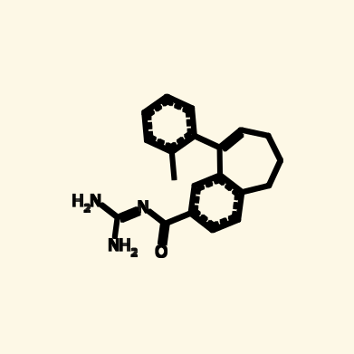 Cc1ccccc1C1=CCCCc2ccc(C(=O)N=C(N)N)cc21